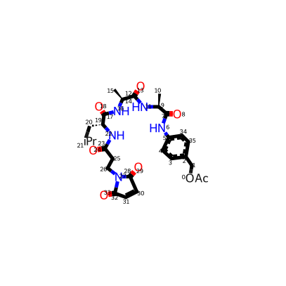 CC(=O)OCc1ccc(NC(=O)[C@H](C)NC(=O)[C@H](C)NC(=O)[C@@H](CC(C)C)NC(=O)CCN2C(=O)C=CC2=O)cc1